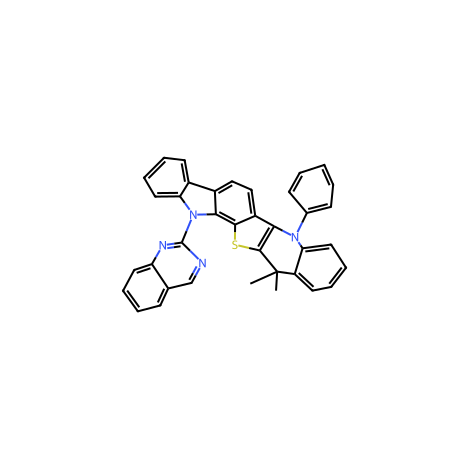 CC1(C)c2ccccc2N(c2ccccc2)c2c1sc1c2ccc2c3ccccc3n(-c3ncc4ccccc4n3)c21